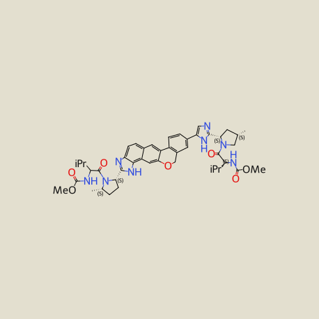 COC(=O)NC(C(=O)N1[C@@H](C)CC[C@H]1c1nc2ccc3cc4c(cc3c2[nH]1)OCc1cc(-c2cnc([C@@H]3C[C@H](C)CN3C(=O)[C@@H](NC(=O)OC)C(C)C)[nH]2)ccc1-4)C(C)C